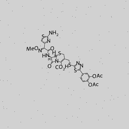 CON=C(C(=O)N[C@@H]1C(=O)N2C(C(=O)O)=C(CSc3nnc(-c4ccc(OC(C)=O)c(OC(C)=O)c4)s3)CS[C@@H]12)c1csc(N)n1